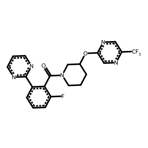 O=C(c1c(F)cccc1-c1ncccn1)N1CCCC(Oc2cnc(C(F)(F)F)cn2)C1